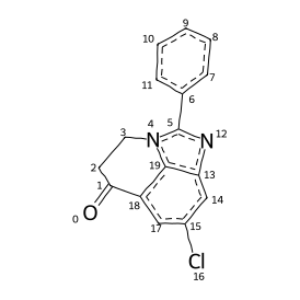 O=C1CCn2c(-c3ccccc3)nc3cc(Cl)cc1c32